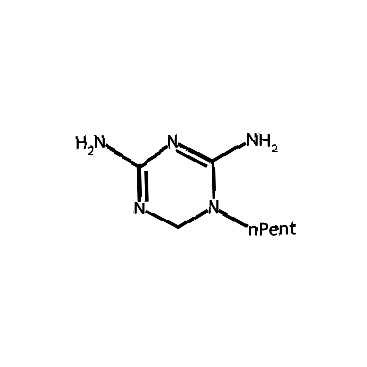 CCCCCN1CN=C(N)N=C1N